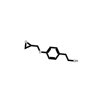 OCCc1ccc(OCC2CO2)cc1